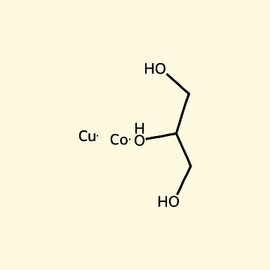 OCC(O)CO.[Co].[Cu]